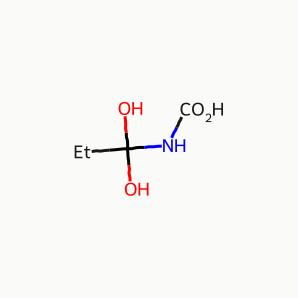 CCC(O)(O)NC(=O)O